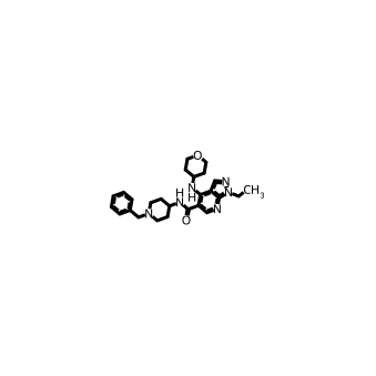 CCn1ncc2c(NC3CCOCC3)c(C(=O)NC3CCN(Cc4ccccc4)CC3)cnc21